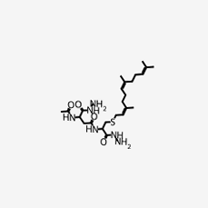 CC(=O)NC(CC(=O)NC(CSCC=C(C)CCC=C(C)CCC=C(C)C)C(=O)NN)C(=O)NN